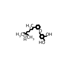 CCC(O)(CC)CCCC=C(C)c1cccc(OCc2ccc(CO)c(CO)c2)c1